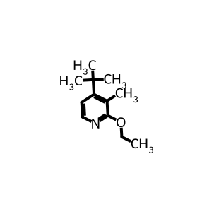 CCOc1nccc(C(C)(C)C)c1C